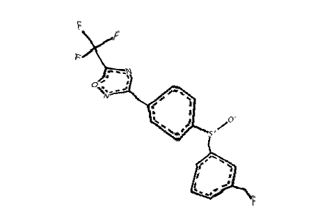 [O-][S+](c1ccc(-c2noc(C(F)(F)F)n2)cc1)c1cccc(F)c1